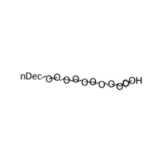 CCCCCCCCCCCCOCCOCCOCCOCCOCCOCCOCCOCCOc1ccc(O)cc1